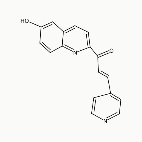 O=C(C=Cc1ccncc1)c1ccc2cc(O)ccc2n1